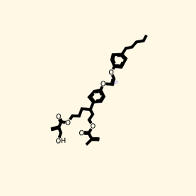 C=C(C)C(=O)OCCC(CCCOC(=O)C(=C)CO)c1ccc(O/C=C\Oc2ccc(CCCCC)cc2)cc1